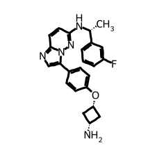 C[C@@H](Nc1ccc2ncc(-c3ccc(O[C@H]4C[C@@H](N)C4)cc3)n2n1)c1cccc(F)c1